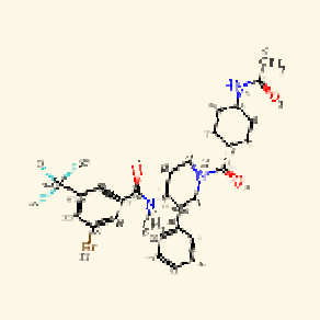 CC(=O)N[C@H]1CC[C@H](C(=O)N2CC[C@@H](N(C)C(=O)c3cc(Br)cc(C(F)(F)F)c3)[C@H](c3ccccc3)C2)CC1